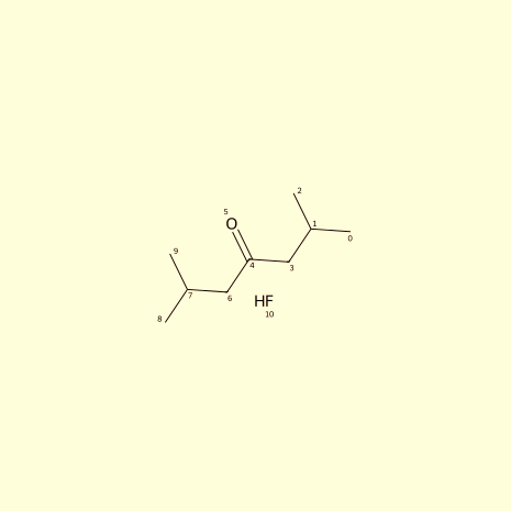 CC(C)CC(=O)CC(C)C.F